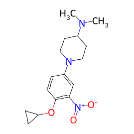 CN(C)C1CCN(c2ccc(OC3CC3)c([N+](=O)[O-])c2)CC1